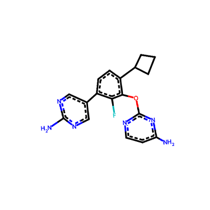 Nc1ccnc(Oc2c(C3CCC3)ccc(-c3cnc(N)nc3)c2F)n1